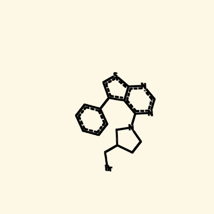 BrCC1CCN(c2ncnc3scc(-c4ccccc4)c23)C1